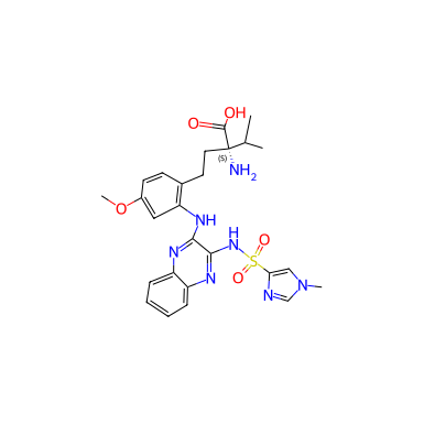 COc1ccc(CC[C@@](N)(C(=O)O)C(C)C)c(Nc2nc3ccccc3nc2NS(=O)(=O)c2cn(C)cn2)c1